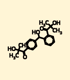 CC(C)(O)C(=O)c1ccc(C(O)c2ccccc2C(=O)C(C)(C)O)cc1